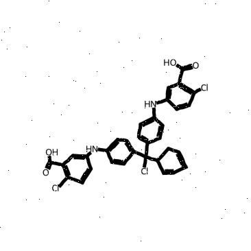 O=C(O)c1cc(Nc2ccc(C(Cl)(c3ccc(Nc4ccc(Cl)c(C(=O)O)c4)cc3)C3C=CC=CC3)cc2)ccc1Cl